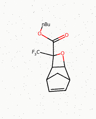 CCCCOC(=O)C1(C(F)(F)F)OC2C3C=CC(C3)C21